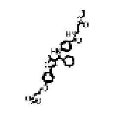 CCOC(=O)CCNC(=O)c1ccc(NC(c2cc(-c3ccc(OCCCS(C)(=O)=O)cc3)oc2C)C2CCCCC2)cc1